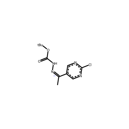 C/C(=N/NC(=O)OC(C)(C)C)c1cnc(Cl)nc1